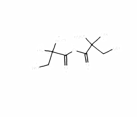 CCCCCCCCC(O)(CO)C(=O)OC(=O)C(O)(CO)CCCCCCCC